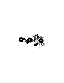 C=CC(=O)Nc1cc(Nc2ncnc(N(C)c3ccc4c(cnn4Cc4ccccc4)c3)n2)ccc1OC